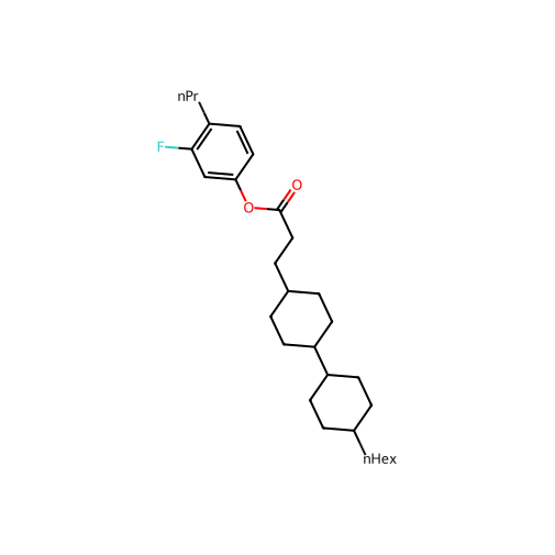 CCCCCCC1CCC(C2CCC(CCC(=O)Oc3ccc(CCC)c(F)c3)CC2)CC1